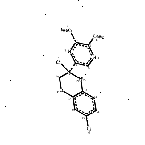 CCC1(c2cnc(OC)c(OC)n2)COc2cc(Cl)ccc2N1